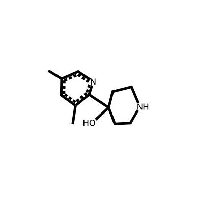 Cc1cnc(C2(O)CCNCC2)c(C)c1